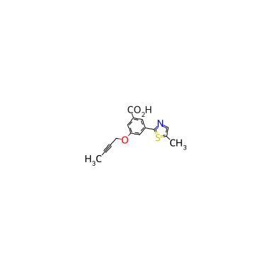 CC#CCOc1cc(C(=O)O)cc(-c2ncc(C)s2)c1